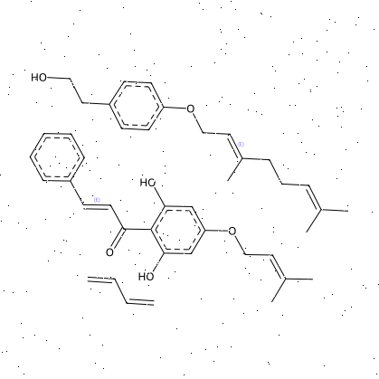 C=CC=C.CC(C)=CCC/C(C)=C/COc1ccc(CCO)cc1.CC(C)=CCOc1cc(O)c(C(=O)/C=C/c2ccccc2)c(O)c1